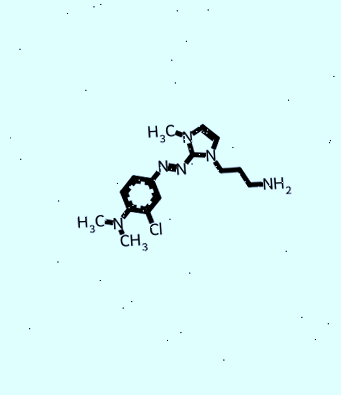 CN(C)c1ccc(/N=N/C2N(C)C=CN2CCCN)cc1Cl